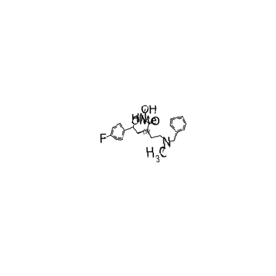 COC(C[C@H](CCN(C)Cc1ccccc1)C(=O)NO)c1ccc(F)cc1